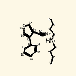 CCCCNCCCC.N#Cc1cscc1-c1ccccc1